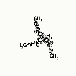 CC=COCCOC(=O)c1ccc(C(C)(c2ccc(C(=O)OCCOC=CC)cc2)c2ccc(C(=O)OCCOC=CC)cc2)cc1